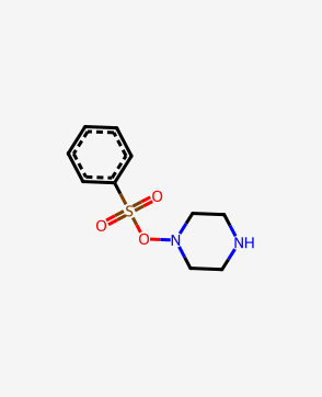 O=S(=O)(ON1CCNCC1)c1ccccc1